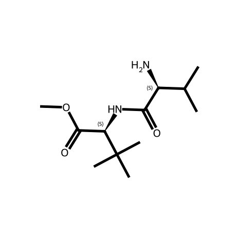 COC(=O)[C@@H](NC(=O)[C@@H](N)C(C)C)C(C)(C)C